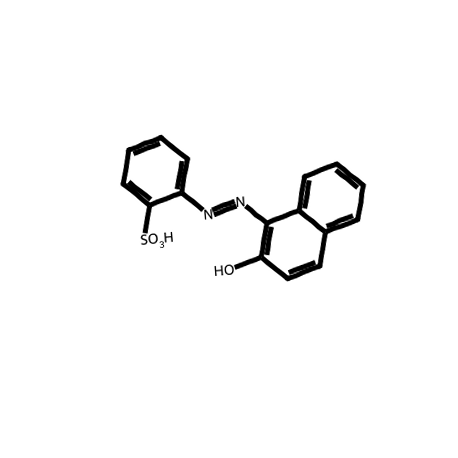 O=S(=O)(O)c1ccccc1N=Nc1c(O)ccc2ccccc12